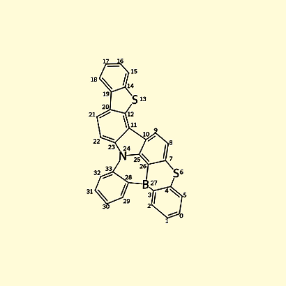 c1ccc2c(c1)Sc1ccc3c4c5sc6ccccc6c5ccc4n4c3c1B2c1ccccc1-4